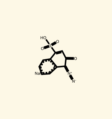 [N-]=[N+]=C1C(=O)C=C(S(=O)(=O)O)c2ccccc21.[NaH]